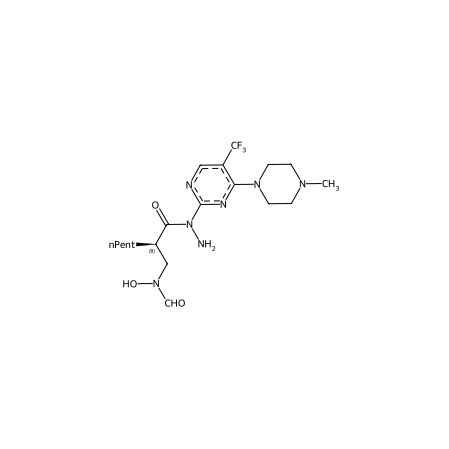 CCCCC[C@H](CN(O)C=O)C(=O)N(N)c1ncc(C(F)(F)F)c(N2CCN(C)CC2)n1